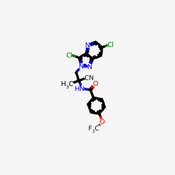 CC(C#N)(Cn1nc2cc(Cl)cnc2c1Cl)NC(=O)c1ccc(OC(F)(F)F)cc1